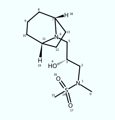 CN(C[C@H](O)CN1[C@@H]2C[CH]C[C@H]1CC2)S(C)(=O)=O